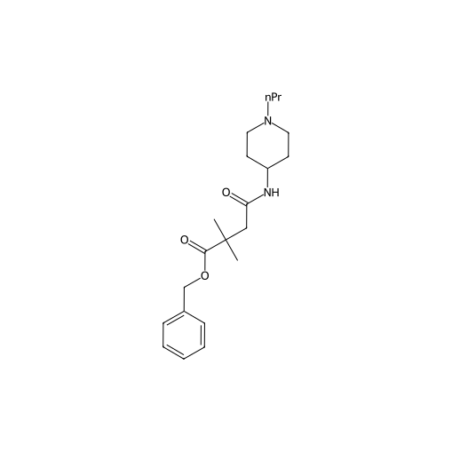 CCCN1CCC(NC(=O)CC(C)(C)C(=O)OCc2ccccc2)CC1